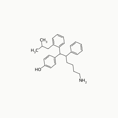 CC(C)Cc1ccccc1[C](c1ccc(O)cc1)C(CCCCN)c1ccccc1